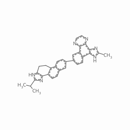 Cc1nc2c3nccnc3c3cc(-c4ccc5c6c(ccc5c4)-c4nc(C(C)C)[nH]c4CC6)ccc3c2[nH]1